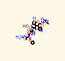 Cc1nnc(NC(=O)CC(C(=C2CCNC2=O)C2=C(C(=O)O)N3C(=O)[C@@H](NC(=O)C(=NOC4CCCC4)c4csc(N)n4)[C@H]3SC2)c2ccncc2)s1